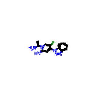 C=C(N)n1cc(Br)c(-n2nnc3ccccc32)cc1=N